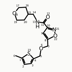 Cc1ccc(COCc2cc(C(=O)NCC3CCOCC3)no2)s1